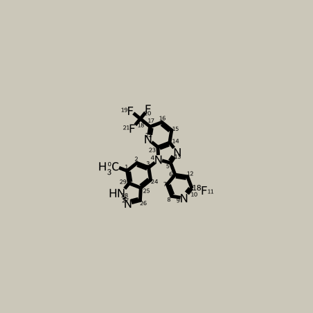 Cc1cc(-n2c(-c3ccnc([18F])c3)nc3ccc(C(F)(F)F)nc32)cc2cn[nH]c12